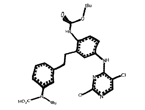 CC(C)(C)OC(=O)Nc1ccc(Nc2nc(Cl)ncc2Cl)cc1CCc1cccc(N(C(=O)O)C(C)(C)C)c1